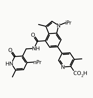 CCCc1cc(C)[nH]c(=O)c1CNC(=O)c1cc(-c2cnc(C(=O)O)c(C)c2)cc2c1c(C)cn2C(C)C